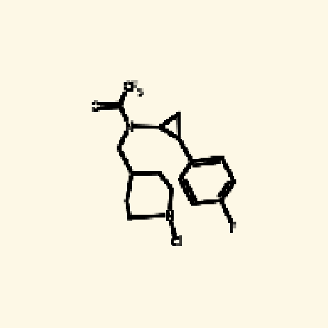 O=C(N(CC1CCN(Cl)CC1)C1CC1c1ccc(F)cc1)C(F)(F)F